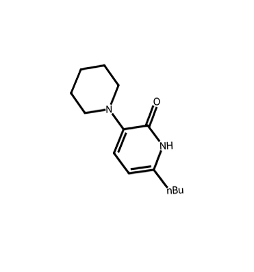 CCCCc1ccc(N2CCCCC2)c(=O)[nH]1